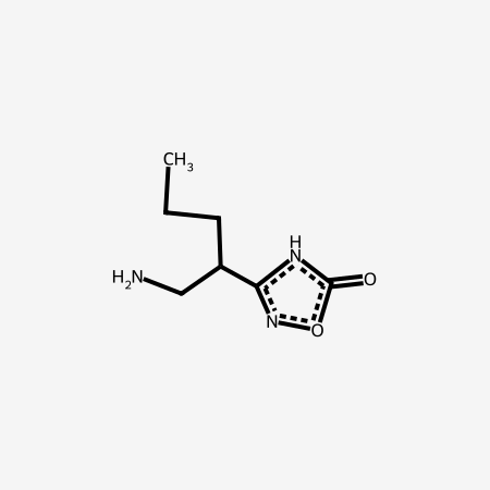 CCCC(CN)c1noc(=O)[nH]1